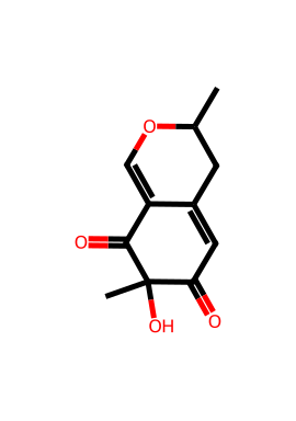 CC1CC2=CC(=O)C(C)(O)C(=O)C2=CO1